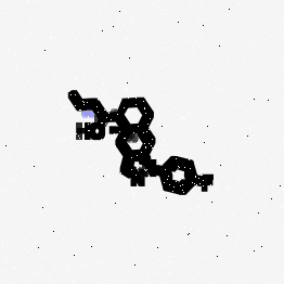 C/C=C/[C@H](O)[C@H]1CCCC2=Cc3c(cnn3-c3ccc(F)cc3)C[C@@]21C